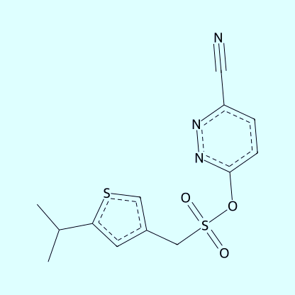 CC(C)c1cc(CS(=O)(=O)Oc2ccc(C#N)nn2)cs1